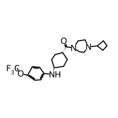 O=C([C@H]1CC[C@@H](Nc2ccc(OC(F)(F)F)cc2)CC1)N1CCN(C2CCC2)CC1